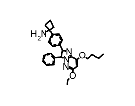 CCCCOC1=CC(OCC)=NN2C1=NC(c1ccc(C3(N)CCC3)cc1)C2c1ccccc1